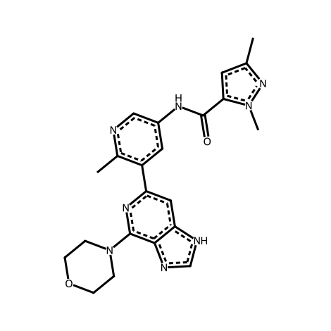 Cc1cc(C(=O)Nc2cnc(C)c(-c3cc4[nH]cnc4c(N4CCOCC4)n3)c2)n(C)n1